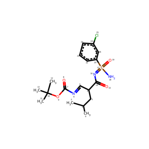 CC(C)CC(/C=N/C(=O)OC(C)(C)C)C(=O)N=S(N)(=O)c1cccc(Cl)c1